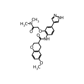 COc1ccc2c(c1)CC(C(=O)Nc1ccc(-c3cn[nH]c3)cc1OCC(=O)N(C)C)CO2